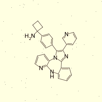 NC1(c2ccc(-c3c(-c4cccnc4)nc4n3-c3cccnc3Nc3ccccc3-4)cc2)CCC1